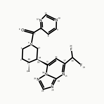 C[C@@H]1CCN(C(=O)c2ccncn2)C[C@H]1c1cc(C(F)F)nc2ncnn12